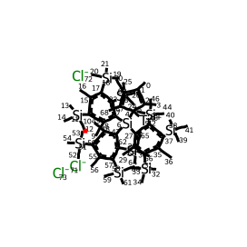 CC1=C(C)[C]([Ti+3])([Si](c2c(C)c([Si](C)(C)C)c(C)c([Si](C)(C)C)c2[Si](C)(C)C)(c2c(C)c([Si](C)(C)C)c(C)c([Si](C)(C)C)c2[Si](C)(C)C)c2c(C)c([Si](C)(C)C)c(C)c([Si](C)(C)C)c2[Si](C)(C)C)C(C)=C1C.[Cl-].[Cl-].[Cl-]